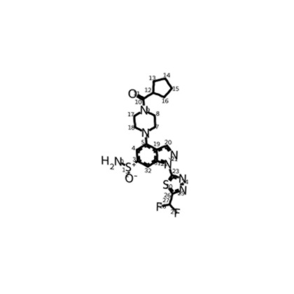 N[S+]([O-])c1cc(N2CCN(C(=O)C3CCCC3)CC2)c2cnn(-c3nnc(C(F)F)s3)c2c1